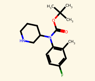 Cc1cc(F)ccc1N(C(=O)OC(C)(C)C)C1CCCNC1